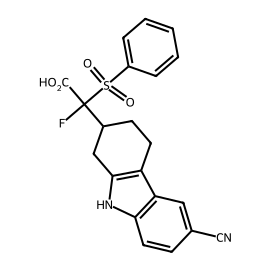 N#Cc1ccc2[nH]c3c(c2c1)CCC(C(F)(C(=O)O)S(=O)(=O)c1ccccc1)C3